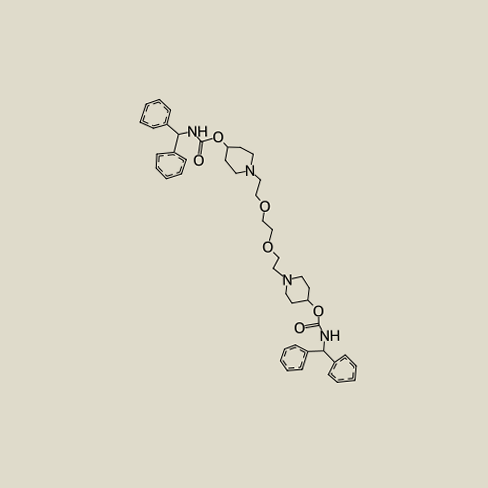 O=C(NC(c1ccccc1)c1ccccc1)OC1CCN(CCOCCOCCN2CCC(OC(=O)NC(c3ccccc3)c3ccccc3)CC2)CC1